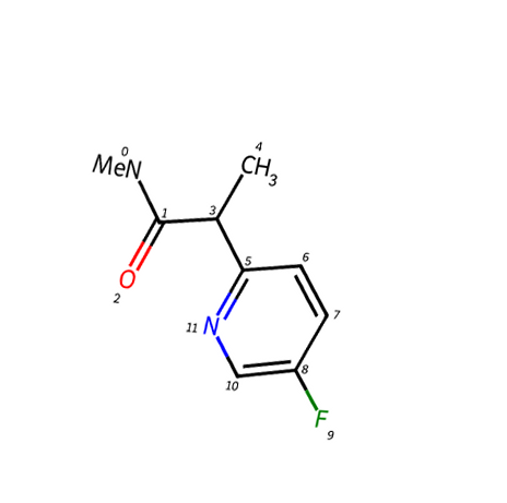 CNC(=O)C(C)c1ccc(F)cn1